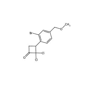 COCc1ccc(C2CC(=O)C2(Cl)Cl)c(Br)c1